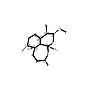 CO[C@H]1O[C@@H]2O[C@@H](C)CC[C@@H]3C2[C@@H](CC[C@H]3C)[C@H]1C